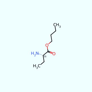 CCCCOC(=O)[C@@H](N)CC